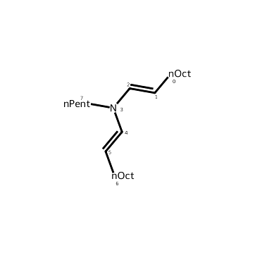 CCCCCCCC/C=C/N(/C=C/CCCCCCCC)CCCCC